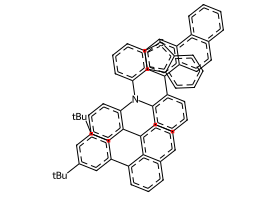 CC(C)(C)c1cc(-c2cccc3cccc(-c4ccccc4N(c4ccccc4-c4cccc5c4ccc4ccccc45)c4cccc5sc6ccccc6c45)c23)cc(C(C)(C)C)c1